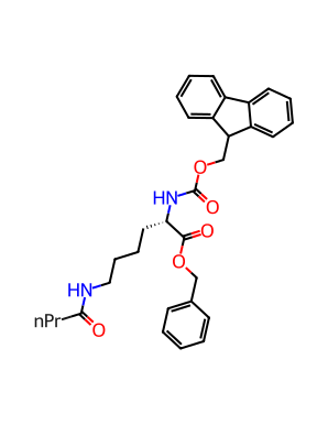 CCCC(=O)NCCCC[C@H](NC(=O)OCC1c2ccccc2-c2ccccc21)C(=O)OCc1ccccc1